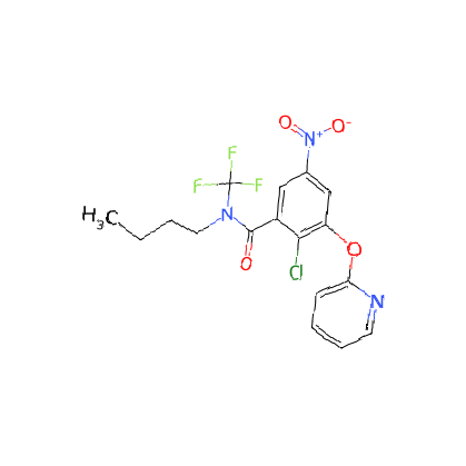 CCCCN(C(=O)c1cc([N+](=O)[O-])cc(Oc2ccccn2)c1Cl)C(F)(F)F